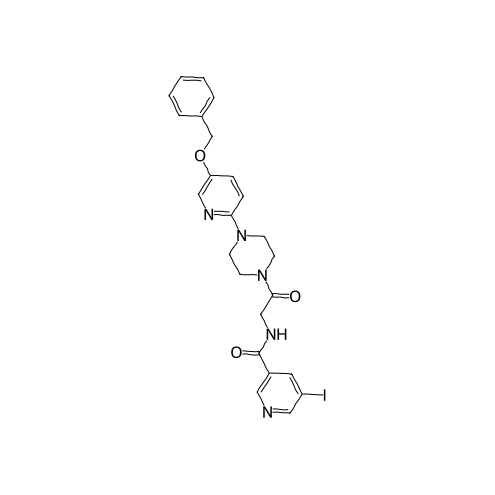 O=C(NCC(=O)N1CCN(c2ccc(OCc3ccccc3)cn2)CC1)c1cncc(I)c1